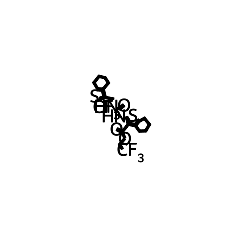 O=C(NCc1c(C(F)(F)F)sc2c1CCCC2)Nc1sc2c(c1C(=O)OCC(F)(F)F)CCCC2